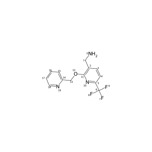 NCc1ccc(C(F)(F)F)nc1OCc1ccccn1